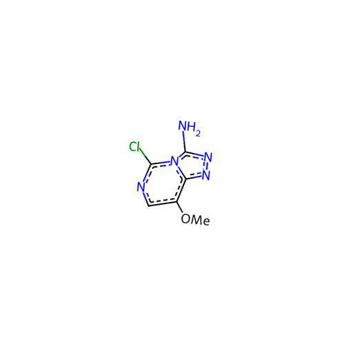 COc1cnc(Cl)n2c(N)nnc12